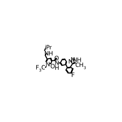 Cc1[nH]nnc1-c1cc(F)ccc1-c1cccc(NC(=O)c2cc(CNCC(C)C)cn(CC(F)(F)F)c2=O)c1